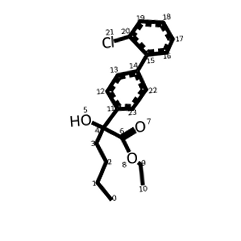 CCCCC(O)(C(=O)OCC)c1ccc(-c2ccccc2Cl)cc1